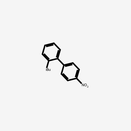 CCC(C)c1ccccc1-c1ccc([N+](=O)[O-])cc1